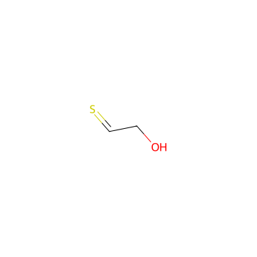 OCC=S